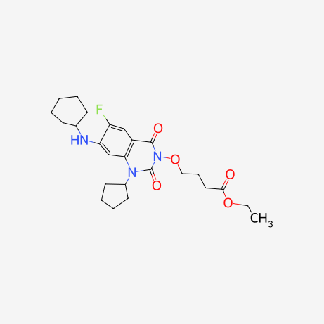 CCOC(=O)CCCOn1c(=O)c2cc(F)c(NC3CCCCC3)cc2n(C2CCCC2)c1=O